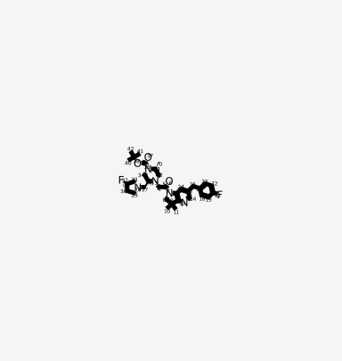 C[C@@H]1CN(CC(=O)N2CC(C)(C)c3ncc(Cc4ccc(F)cc4)cc32)[C@@H](CN2CC[C@@H](F)C2)CN1C(=O)OC(C)(C)C